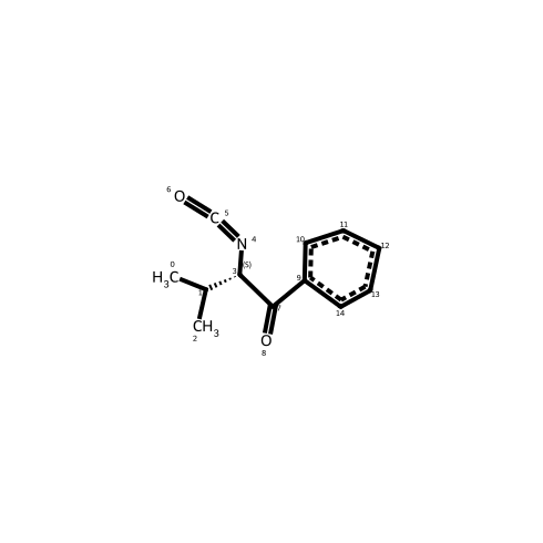 CC(C)[C@H](N=C=O)C(=O)c1ccccc1